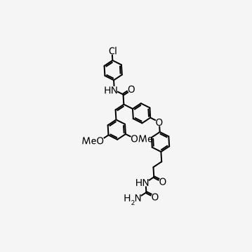 COc1cc(/C=C(/C(=O)Nc2ccc(Cl)cc2)c2ccc(Oc3ccc(CCC(=O)NC(N)=O)cc3)cc2)cc(OC)c1